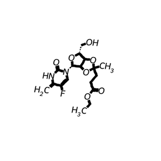 C=C1NC(=O)N([C@@H]2O[C@H](CO)C3OC(C)(CCC(=O)OCC)OC32)C=C1F